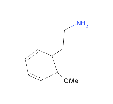 COC1C=CC=CC1CCN